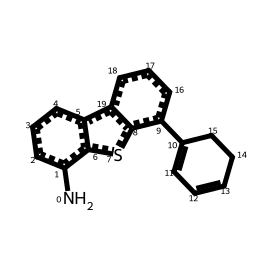 Nc1cccc2c1sc1c(C3=CC=CCC3)cccc12